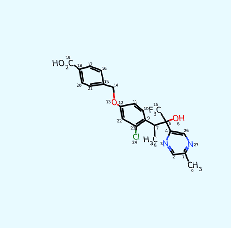 Cc1cnc(C(O)(C(C)c2ccc(OCc3ccc(C(=O)O)cc3)cc2Cl)C(F)(F)F)cn1